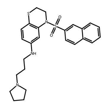 O=S(=O)(c1ccc2ccccc2c1)N1CCSc2ccc(NCCCN3CCCC3)cc21